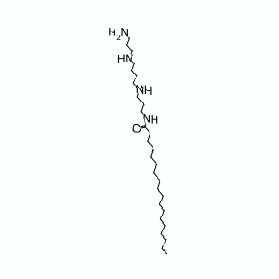 CCCCCCCCCCCCCCCCCC(=O)NCCCNCCCCNCCCN